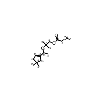 COCC(=O)OCC(C)(C)OC(C)C1=CCC(C)(C)C1